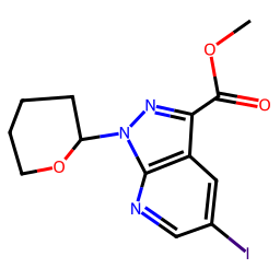 COC(=O)c1nn(C2CCCCO2)c2ncc(I)cc12